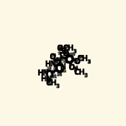 CCOc1cc([C@H](CS(C)(=O)=O)n2c(=O)[nH]c3c(/C(C=N)=C/NC)ccnc32)ccc1OC